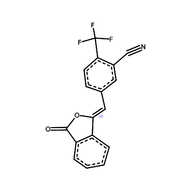 N#Cc1cc(/C=C2\OC(=O)c3ccccc32)ccc1C(F)(F)F